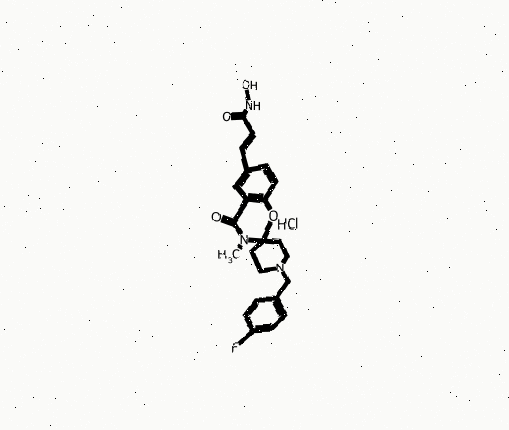 CN1C(=O)c2cc(C=CC(=O)NO)ccc2OC12CCN(Cc1ccc(F)cc1)CC2.Cl